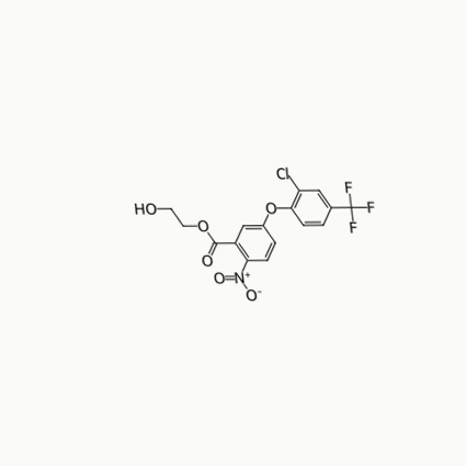 O=C(OCCO)c1cc(Oc2ccc(C(F)(F)F)cc2Cl)ccc1[N+](=O)[O-]